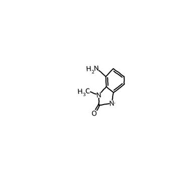 CN1C(=O)[N]c2cccc(N)c21